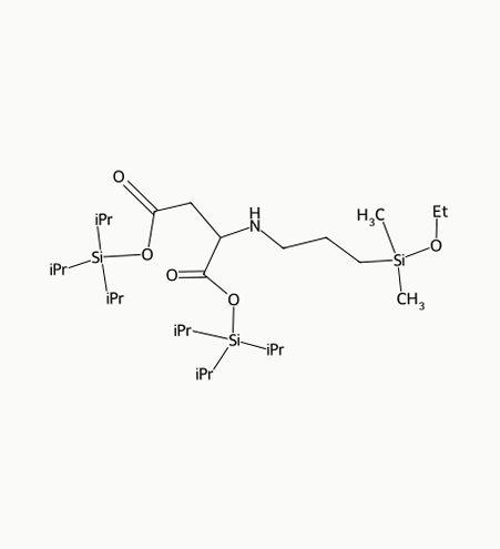 CCO[Si](C)(C)CCCNC(CC(=O)O[Si](C(C)C)(C(C)C)C(C)C)C(=O)O[Si](C(C)C)(C(C)C)C(C)C